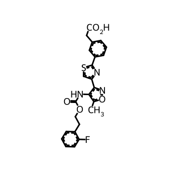 Cc1onc(-c2csc(-c3cccc(CC(=O)O)c3)n2)c1NC(=O)OCCc1ccccc1F